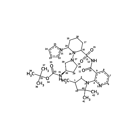 CC1CN(c2ncccc2C(=O)NS(=O)(=O)C2CCCC(n3cccc3)N2N2CC[C@@H](NC(=O)OC(C)(C)C)C2)C(C)(C)C1